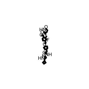 O=C1CCC(N2Cc3c(ccc(COc4ccc(CC(=O)Nc5cc(C6CCC6)[nH]n5)cc4)c3F)C2=O)C(=O)N1